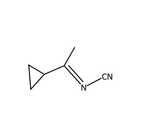 C/C(=N\C#N)C1CC1